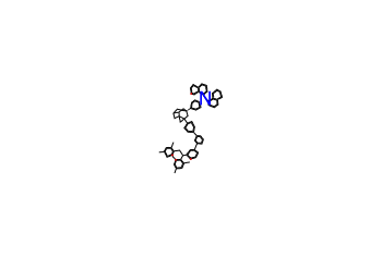 Cc1cc(C)c(CC(c2cccc(-c3cccc(-c4ccc(C56CC57CC5C[C@](c8ccc(N(c9cccc%10ccccc9%10)c9cccc%10ccccc9%10)cc8)(CC57)C6)cc4)c3)c2)c2c(C)cc(C)cc2C)c(C)c1